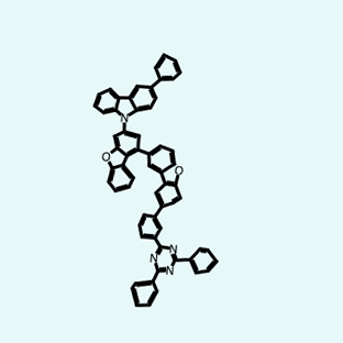 c1ccc(-c2ccc3c(c2)c2ccccc2n3-c2cc(-c3ccc4oc5ccc(-c6cccc(-c7nc(-c8ccccc8)nc(-c8ccccc8)n7)c6)cc5c4c3)c3c(c2)oc2ccccc23)cc1